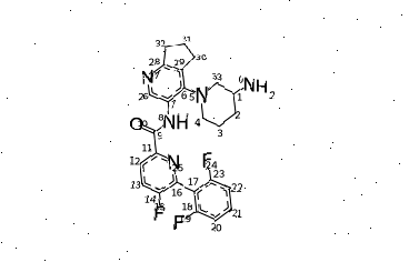 NC1CCCN(c2c(NC(=O)c3ccc(F)c(-c4c(F)cccc4F)n3)cnc3c2CCC3)C1